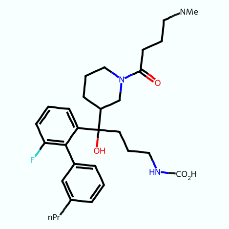 CCCc1cccc(-c2c(F)cccc2C(O)(CCCNC(=O)O)C2CCCN(C(=O)CCCNC)C2)c1